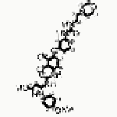 COc1ccc(-n2nc(O)cc2NC(=O)Nc2ccc(Oc3ccnc(NC(=O)NCCN4CCOCC4)c3)c(Cl)c2Cl)cc1